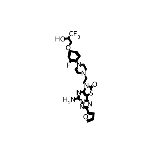 Nc1nc2c(sc(=O)n2CCN2CCN(c3ccc(OCC(O)C(F)(F)F)cc3F)CC2)c2nc(-c3ccco3)nn12